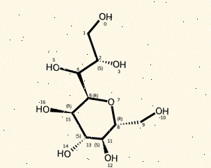 OC[C@H](O)C(O)[C@H]1O[C@H](CO)[C@@H](O)[C@H](O)[C@H]1O